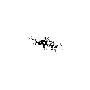 CCOC(=O)c1cc2c(C=O)c(OC(C)C(=O)OC(C)(C)C)c(OC)cc2s1